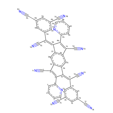 N#CC1=C(c2ccccn2)/C(=C(/C#N)c2cc(C#N)cc(C#N)c2)c2cc3c(cc21)/C(=C(\C#N)c1cc(C#N)cc(C#N)c1)C(c1ccccn1)=C3C#N